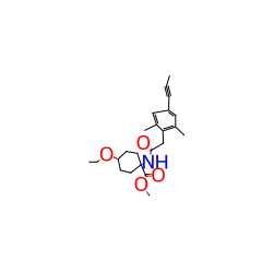 CC#Cc1cc(C)c(CC(=O)N[C@]2(C(=O)OC)CC[C@H](OCC)CC2)c(C)c1